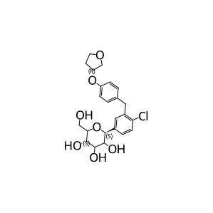 OCC1O[C@@H](c2ccc(Cl)c(Cc3ccc(O[C@@H]4CCOC4)cc3)c2)C(O)C(O)[C@@H]1O